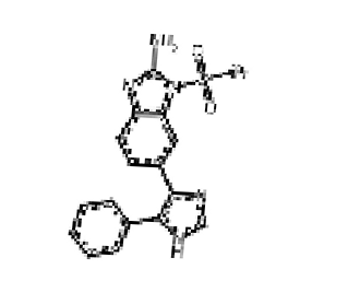 CC(C)S(=O)(=O)n1c(N)nc2ccc(-c3nc[nH]c3-c3ccccc3)cc21